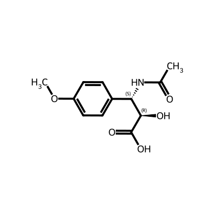 COc1ccc([C@H](NC(C)=O)[C@@H](O)C(=O)O)cc1